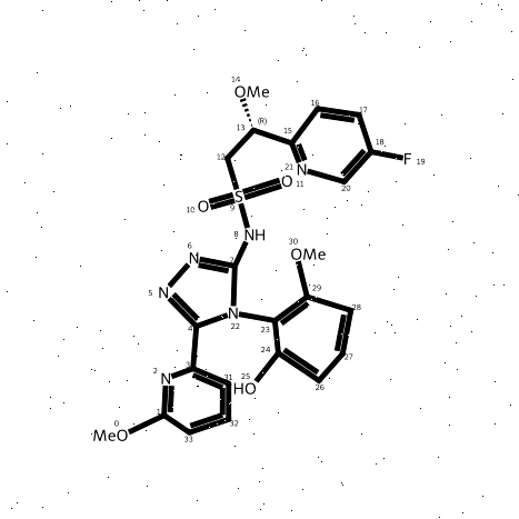 COC1=NC(c2nnc(NS(=O)(=O)C[C@H](OC)c3ccc(F)cn3)n2-c2c(O)cccc2OC)=C=C=C1